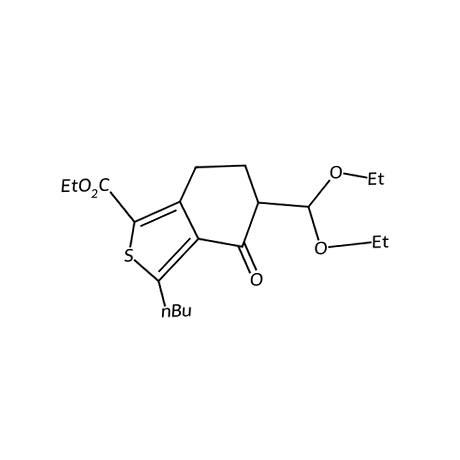 CCCCc1sc(C(=O)OCC)c2c1C(=O)C(C(OCC)OCC)CC2